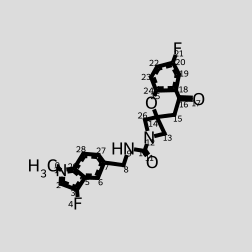 Cn1cc(F)c2cc(CNC(=O)N3CC4(CC(=O)c5cc(F)ccc5O4)C3)ccc21